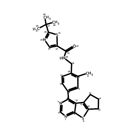 Cc1cc(-c2ncnc3sc4c(c23)CCC4)ccc1CNC(=O)c1cnc(C(C)(C)C)s1